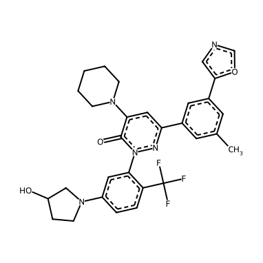 Cc1cc(-c2cc(N3CCCCC3)c(=O)n(-c3cc(N4CCC(O)C4)ccc3C(F)(F)F)n2)cc(-c2cnco2)c1